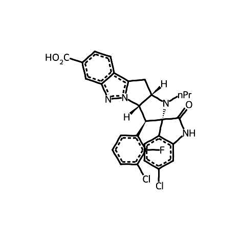 CCCN1[C@H]2Cc3c4ccc(C(=O)O)cc4nn3[C@H]2[C@H](c2cccc(Cl)c2F)[C@]12C(=O)Nc1cc(Cl)ccc12